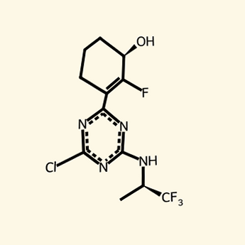 C[C@@H](Nc1nc(Cl)nc(C2=C(F)[C@H](O)CCC2)n1)C(F)(F)F